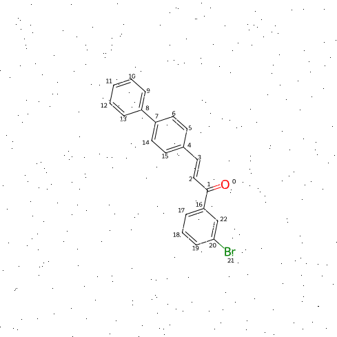 O=C(C=Cc1ccc(-c2ccccc2)cc1)c1cccc(Br)c1